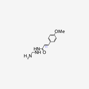 COc1ccc(/C=C/C(=O)NNCN)cc1